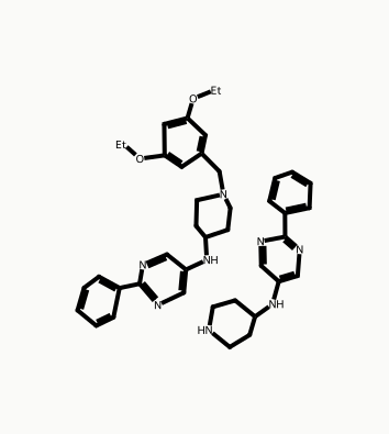 CCOc1cc(CN2CCC(Nc3cnc(-c4ccccc4)nc3)CC2)cc(OCC)c1.c1ccc(-c2ncc(NC3CCNCC3)cn2)cc1